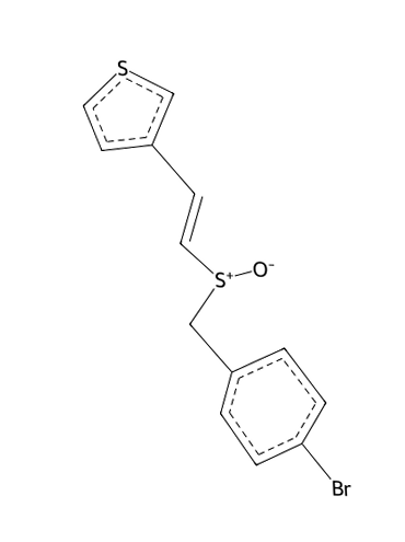 [O-][S+](C=Cc1ccsc1)Cc1ccc(Br)cc1